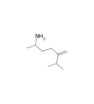 C=C(CCC(C)N)C(C)C